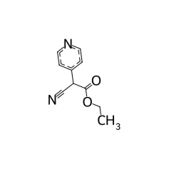 CCOC(=O)C(C#N)c1ccncc1